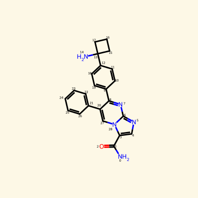 NC(=O)c1cnc2nc(-c3ccc(C4(N)CCC4)cc3)c(-c3ccccc3)cn12